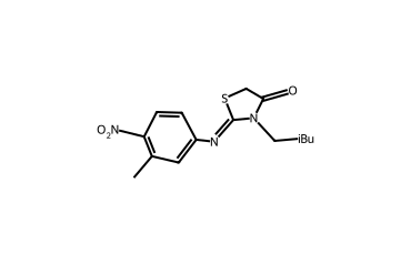 CCC(C)CN1C(=O)CS/C1=N\c1ccc([N+](=O)[O-])c(C)c1